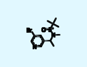 CC(c1cncc(Br)c1)N(C)[S+]([O-])C(C)(C)C